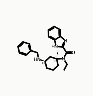 CCN(C(=O)c1nc2ccccc2[nH]1)[C@@]1(C)CCC[C@@H](NCc2ccccc2)C1